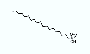 CCCCCCCCCCCCCCCCCCC[N+](O)(O)CC